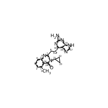 Cc1cccc2nc(CSc3nc(N)nc4[nH]cnc34)n(C3CC3)c(=O)c12